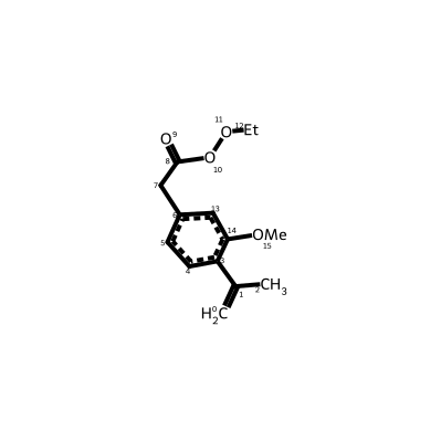 C=C(C)c1ccc(CC(=O)OOCC)cc1OC